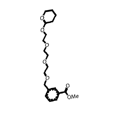 COC(=O)c1cccc(COCCOCCOCCOC2CCCCO2)c1